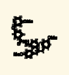 COc1ccc(CN(Cc2ccc(OC)cc2)c2nccc(CNC(=O)c3ccc(Oc4cc(OC)ccn4)cc3)n2)cc1